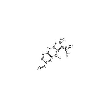 COc1cc(C=O)ccc1Cn1cc(Cl)c([N+](=O)[O-])n1